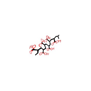 CCC(CC(CC(CC(CC(CC(CC(C)C)C(=O)O)C(=O)O)C(=O)O)C(=O)O)C(=O)O)C(=O)O